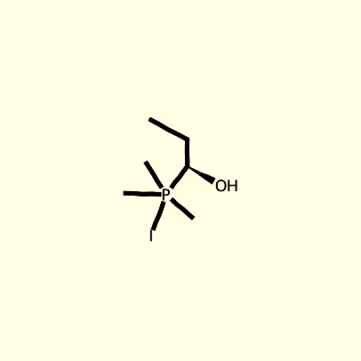 CC[C@@H](O)P(C)(C)(C)I